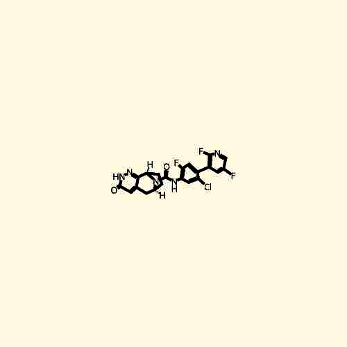 O=C(Nc1cc(Cl)c(-c2cc(F)cnc2F)cc1F)N1[C@H]2CC[C@@H]1c1n[nH]c(=O)cc1C2